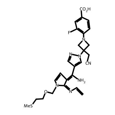 C=C/N=C1\C(=C(/N)c2cnn(C3(CC#N)CN(c4ccc(C(=O)O)cc4F)C3)c2)C=CN1COCCSC